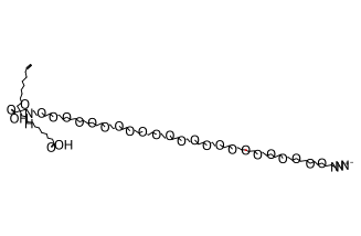 C#CCCCCCCCCCC(CCCCCCCCCCC(=O)O)(C(=O)O)C(=O)NCCOCCOCCOCCOCCOCCOCCOCCOCCOCCOCCOCCOCCOCCOCCOCCOCCOCCOCCOCCOCCOCCOCCOCCN=[N+]=[N-]